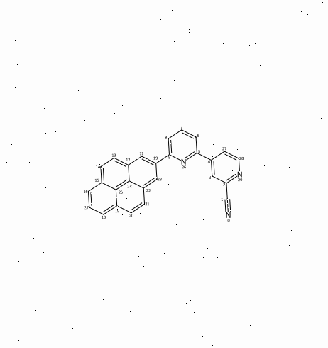 N#Cc1cc(-c2cccc(-c3cc4ccc5cccc6ccc(c3)c4c56)n2)ccn1